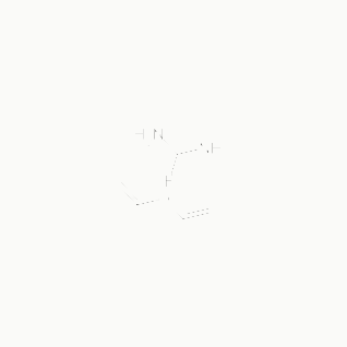 C=COC=C.CCC(N)N